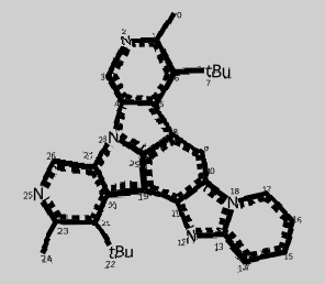 Cc1ncc2c(c1C(C)(C)C)c1cc3c(nc4ccccn43)c3c4c(C(C)(C)C)c(C)ncc4n2c13